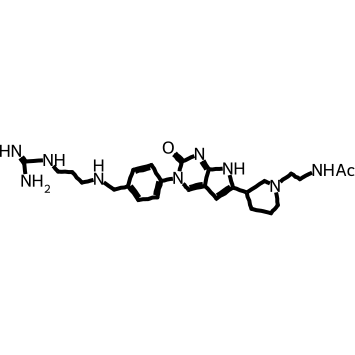 CC(=O)NCCN1CCCC(c2cc3cn(-c4ccc(CNCCCNC(=N)N)cc4)c(=O)nc3[nH]2)C1